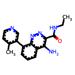 CCNC(=O)c1nnc2c(-c3cnccc3C)cccc2c1N